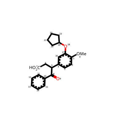 COc1ccc(C(CC(=O)O)C(=O)c2ccccc2)cc1OC1CCCC1